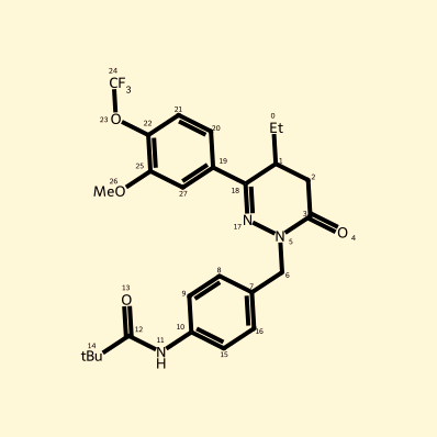 CCC1CC(=O)N(Cc2ccc(NC(=O)C(C)(C)C)cc2)N=C1c1ccc(OC(F)(F)F)c(OC)c1